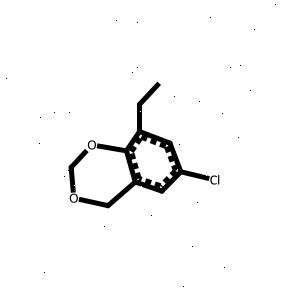 CCc1cc(Cl)cc2c1OCOC2